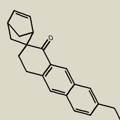 CCc1ccc2cc3c(cc2c1)C(=O)C1(CC3)CC2C=CC1C2